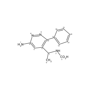 CC(NC(=O)O)c1cc(N)nnc1-c1ccccc1